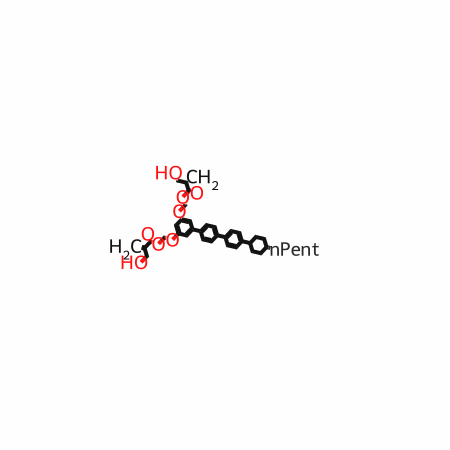 C=C(CO)C(=O)OCOc1cc(OCOC(=O)C(=C)CO)cc(-c2ccc(-c3ccc(C4CCC(CCCCC)CC4)cc3)cc2)c1